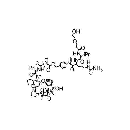 CO[C@H]([C@@H](C)C(=O)N[C@H](C)[C@@H](O)c1ccccc1)[C@@H]1CCCN1C(=O)C[C@@H](OC)[C@H](C1CCCC1)N(C)C(=O)[C@@H](NC(=O)C(C)(C)NC(=O)OCc1ccc(NC(=O)C(CCCNC(N)=O)NC(=O)[C@@H](NC(=O)CCOCCO)C(C)C)cc1)C(C)C